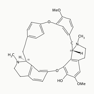 COc1ccc2cc1Oc1ccc(cc1)C[C@H]1c3cc(ccc3CCN1C)Oc1c(O)c(OC)cc3c1[C@H](C2)N(C)CC3